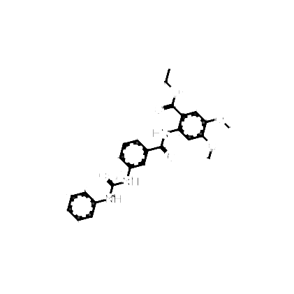 CCOC(=O)c1cc(OC)c(OC)cc1NC(=O)c1cccc(NC(=O)Nc2ccccc2)c1